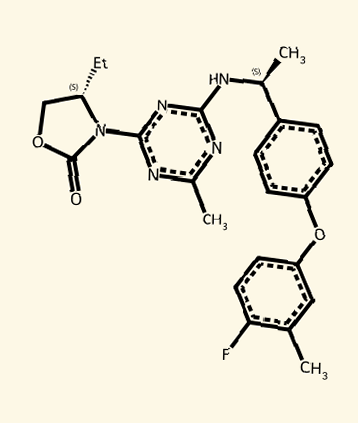 CC[C@H]1COC(=O)N1c1nc(C)nc(N[C@@H](C)c2ccc(Oc3ccc(F)c(C)c3)cc2)n1